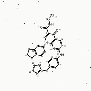 CONC(=O)c1cn(-c2ccc3c(c2)CCC3)c2nc(Nc3ccc(Cc4nnn[nH]4)cc3)ncc2c1=O